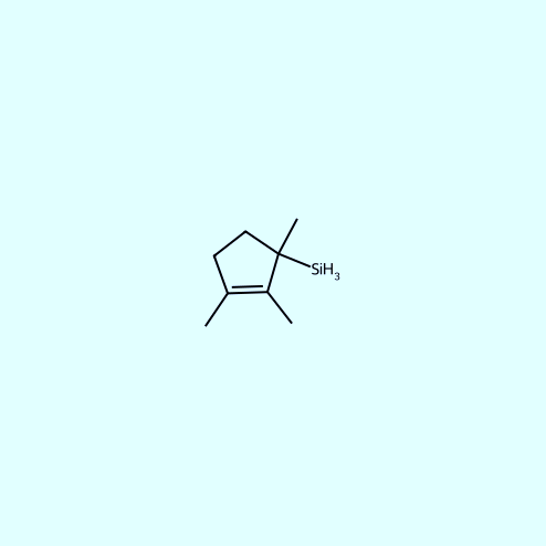 CC1=C(C)C(C)([SiH3])CC1